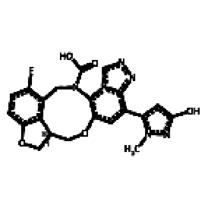 Cn1nc(O)cc1-c1cc2c(n3cnnc13)N(C(=O)O)Cc1c(F)ccc3c1[C@@H](CO3)CO2